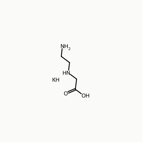 NCCNCC(=O)O.[KH]